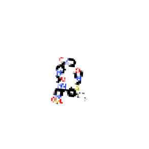 CS(=O)(=O)N1CCc2c(c(-c3ccc(C(F)(F)F)c(SCCN4CCOCC4)c3)nn2CC(O)CN2CCC(C(=O)N3CCCCC3)CC2)C1